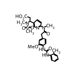 COc1cc(CC(=O)N(C)c2ccc(C(CC(=O)O)N(C)S(C)(=O)=O)cn2)ccc1NC(=O)Nc1ccccc1C